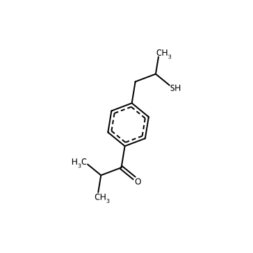 CC(S)Cc1ccc(C(=O)C(C)C)cc1